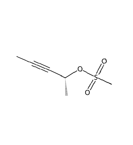 CC#C[C@@H](C)OS(C)(=O)=O